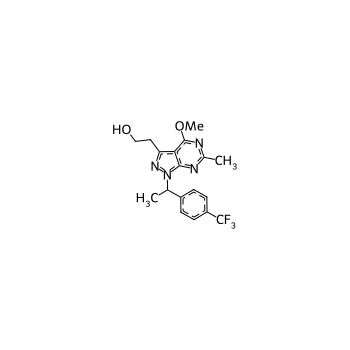 COc1nc(C)nc2c1c(CCO)nn2C(C)c1ccc(C(F)(F)F)cc1